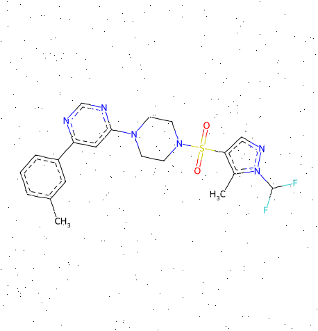 Cc1cccc(-c2cc(N3CCN(S(=O)(=O)c4cnn(C(F)F)c4C)CC3)ncn2)c1